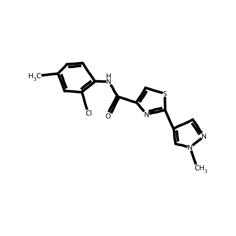 Cc1ccc(NC(=O)c2csc(-c3cnn(C)c3)n2)c(Cl)c1